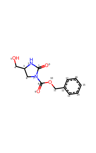 O=C1NC(CO)CN1C(=O)OCc1ccccc1